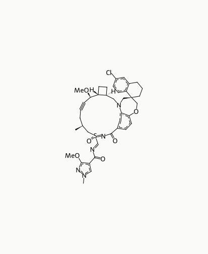 COc1nn(C)cc1C(=O)/N=C/S1(=O)=NC(=O)c2ccc3c(c2)N(C[C@@H]2CC[C@H]2[C@H](OC)C#CC[C@H](C)C1)C[C@@]1(CCCc2cc(Cl)ccc21)CO3